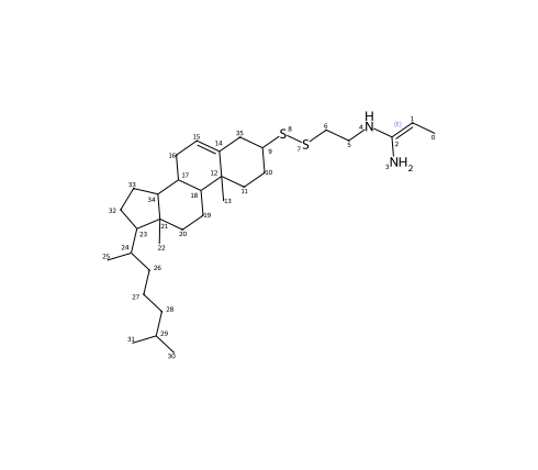 C/C=C(\N)NCCSSC1CCC2(C)C(=CCC3C2CCC2(C)C(C(C)CCCC(C)C)CCC32)C1